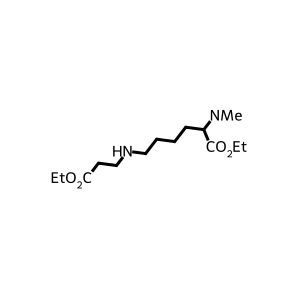 CCOC(=O)CCNCCCCC(NC)C(=O)OCC